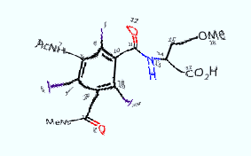 CNC(=O)c1c(I)c(NC(C)=O)c(I)c(C(=O)NC(COC)C(=O)O)c1I